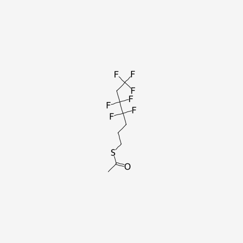 CC(=O)SCCCC(F)(F)C(F)(F)CC(F)(F)F